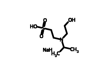 CC(C)N(CCO)CCS(=O)(=O)O.[NaH]